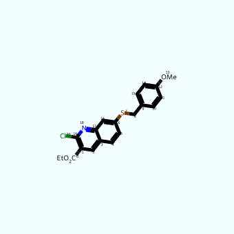 CCOC(=O)c1cc2ccc(SCc3ccc(OC)cc3)cc2nc1Cl